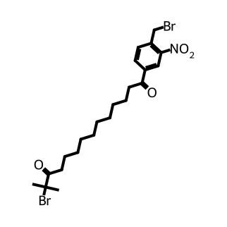 CC(C)(Br)C(=O)CCCCCCCCCCC(=O)c1ccc(CBr)c([N+](=O)[O-])c1